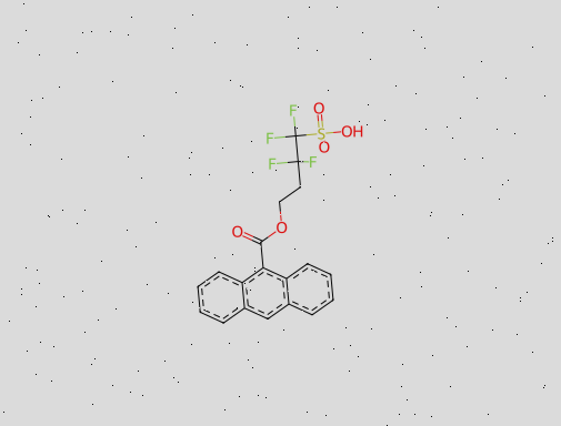 O=C(OCCC(F)(F)C(F)(F)S(=O)(=O)O)c1c2ccccc2cc2ccccc12